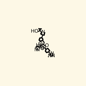 Cn1cnnc1-c1ccc(NC(=O)C(Cc2cc(-c3ccnc(C4(CO)CC4)c3)ccc2Cl)NC(=O)c2ccnn2C)cc1